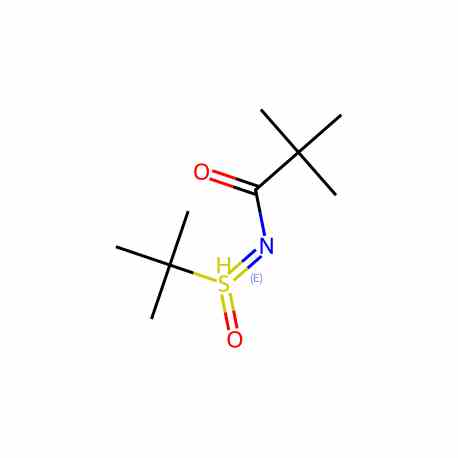 CC(C)(C)C(=O)/N=[SH](=O)\C(C)(C)C